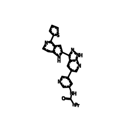 CCCC(=O)Nc1cncc(-c2cnc3[nH]nc(-c4cc5c(-c6cccs6)nccc5[nH]4)c3c2)c1